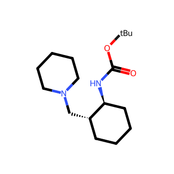 CC(C)(C)OC(=O)N[C@H]1CCCC[C@@H]1CN1CCCCC1